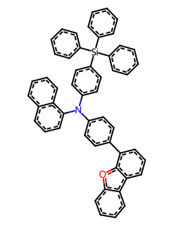 c1ccc([Si](c2ccccc2)(c2ccccc2)c2ccc(N(c3ccc(-c4cccc5c4oc4ccccc45)cc3)c3cccc4ccccc34)cc2)cc1